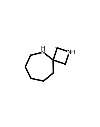 [CH]1NCC12CCCCCN2